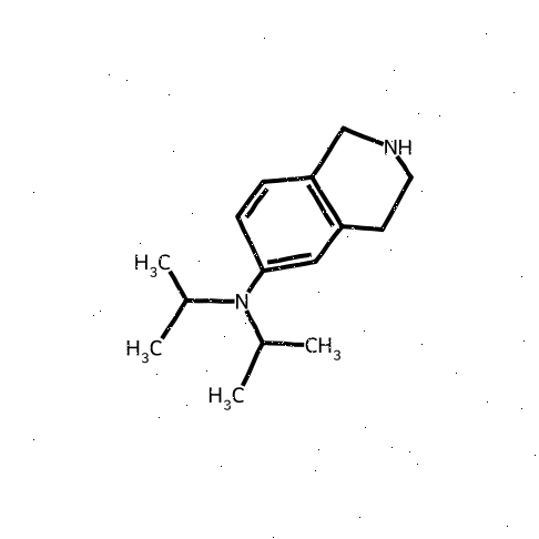 CC(C)N(c1ccc2c(c1)CCNC2)C(C)C